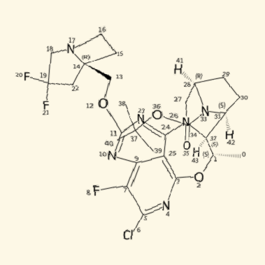 C[C@@H]1Oc2nc(Cl)c(F)c3nc(OC[C@]45CCN4CC(F)(F)C5)nc(c23)N2C[C@H]3CC[C@@H]([C@@H]12)N3C(=O)OC(C)(C)C